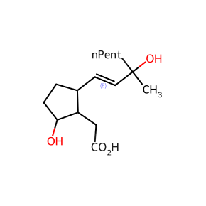 CCCCCC(C)(O)/C=C/C1CCC(O)C1CC(=O)O